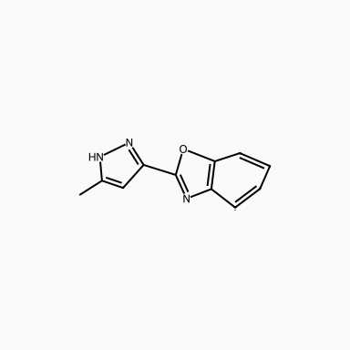 Cc1cc(-c2nc3[c]cccc3o2)n[nH]1